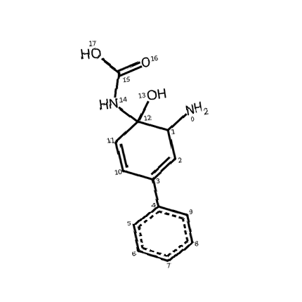 NC1C=C(c2ccccc2)C=CC1(O)NC(=O)O